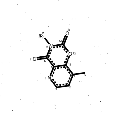 Cc1ccnc2c(=O)n(C(C)C)c(=O)oc12